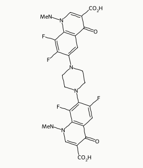 CNn1cc(C(=O)O)c(=O)c2cc(N3CCN(c4c(F)cc5c(=O)c(C(=O)O)cn(NC)c5c4F)CC3)c(F)c(F)c21